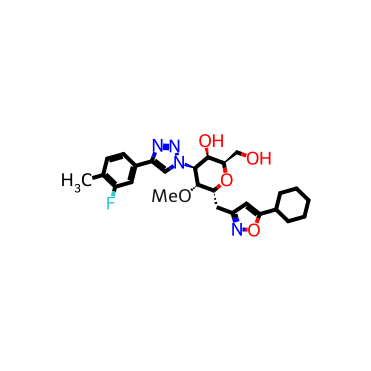 CO[C@@H]1[C@@H](n2cc(-c3ccc(C)c(F)c3)nn2)[C@@H](O)[C@@H](CO)O[C@@H]1Cc1cc(C2CCCCC2)on1